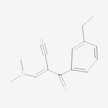 CCc1cccc(C(=O)C(C#N)=CN(C)C)c1